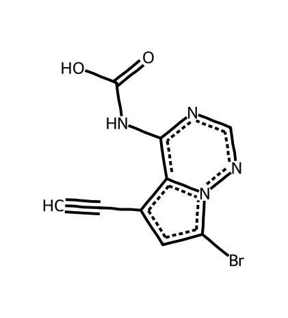 C#Cc1cc(Br)n2ncnc(NC(=O)O)c12